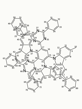 Cc1ccc2c(c1)c1cc(C)ccc1n2-c1cc(-c2nc(-c3ccccc3)nc(-c3ccccc3)n2)c(-n2c3ccccc3c3cc(-c4ccccc4)ccc32)c(-c2nc(-c3ccccc3)nc(-c3ccccc3)n2)c1-n1c2ccccc2c2cc(-c3ccccc3)ccc21